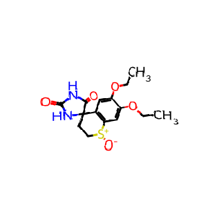 CCOc1cc2c(cc1OCC)C1(CC[S+]2[O-])NC(=O)NC1=O